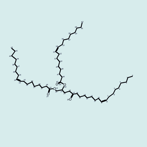 CCCCCCCC/C=C\CCCCCCCC(=O)CCC(COC(=O)CCCCCCC/C=C\CCCCCCCC)OC(=O)CCCCCCC/C=C\CCCCCCCC